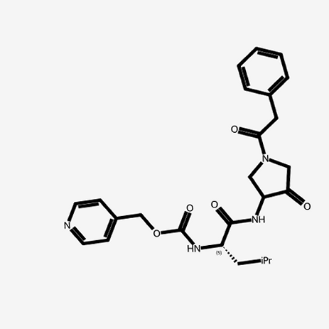 CC(C)C[C@H](NC(=O)OCc1ccncc1)C(=O)NC1CN(C(=O)Cc2ccccc2)CC1=O